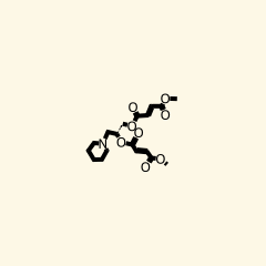 COC(=O)/C=C/C(=O)OC[C@@H](CN1CCCCC1)OC(=O)/C=C/C(=O)OC